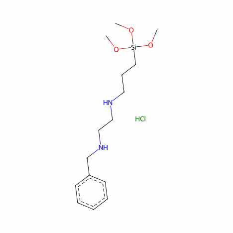 CO[Si](CCCNCCNCc1ccccc1)(OC)OC.Cl